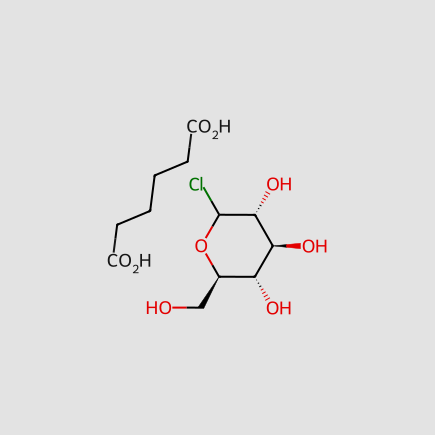 O=C(O)CCCCC(=O)O.OC[C@H]1OC(Cl)[C@H](O)[C@@H](O)[C@@H]1O